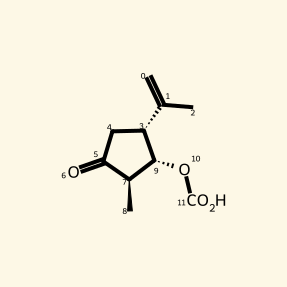 C=C(C)[C@H]1CC(=O)[C@H](C)[C@H]1OC(=O)O